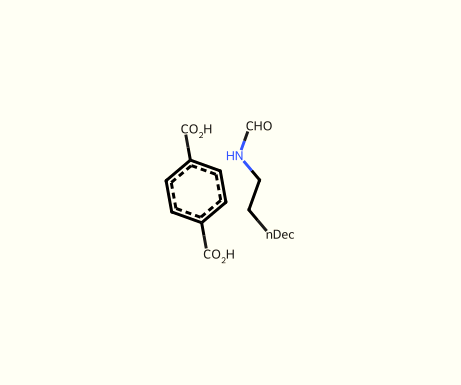 CCCCCCCCCCCCNC=O.O=C(O)c1ccc(C(=O)O)cc1